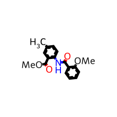 COC(=O)c1cc(C)ccc1NC(=O)c1ccccc1OC